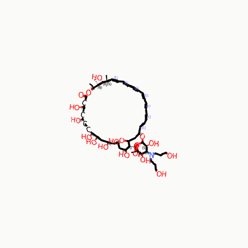 C[C@@H]1[C@H](O)[C@@H](C)/C=C/C=C/C=C/C=C/C=C/C=C/C=C/[C@H](OC2O[C@H](C)[C@@H](O)[C@H](N(CCCO)CCCO)[C@@H]2O)CC2O[C@](O)(C[C@@H](O)C[C@@H](O)[C@H](O)CC[C@@H](O)C[C@@H](O)CC(=O)O[C@H]1C)C[C@H](O)[C@H]2C(=O)O